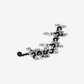 CCCC(=O)NC1[C@H](OCCCCCc2ccccc2)OC(CO)[C@@H](O[C@H]2C[C@H](O)[C@H](O[C@H]3OC(CO)[C@@H](O[C@H]4C[C@H](O)C(O[C@H]5OC(COS(=O)(=O)O)[C@@H](O[C@H]6C[C@H](O)C(O[C@@H]7OC(COS(=O)(=O)O)[C@@H](O[C@H]8C[C@H](O)[C@H](O)CO8)[C@H](O)C7NC(=O)CCC)CO6)[C@H](O)C5NC(=O)CCC)CO4)[C@H](O)C3NC(=O)CCC)CO2)[C@@H]1O